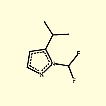 CC(C)c1ccnn1C(F)F